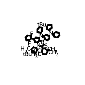 CC1CC(N2c3cc(-c4c(F)cccc4F)cc4c3B(c3ccc(N(c5ccccc5)c5ccccc5)cc3N4c3ccc(C(C)(C)C)cc3)c3sc4c(c32)C(C)(C)CCC4(C)C)=CC=C1C(C)(C)C